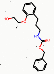 C[C@H](CO)Oc1ccccc1CCCNC(=O)OCc1ccccc1